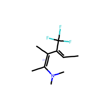 CC=C(/C(C)=C(/C)N(C)C)C(F)(F)F